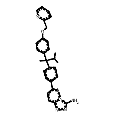 CC(C)C(C)(c1ccc(OCc2ccccn2)cc1)c1ccc(-c2ccc3nnc(N)n3n2)cc1